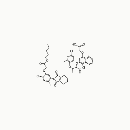 CCCCCOC(=O)COc1cc(N2C(=O)C3=C(CCCC3)C2=O)c(F)cc1Cl.Cc1cc(Cl)ccc1OC(C)C(=O)O.O=C(O)COc1ccc(Cl)c2cccnc12